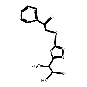 CC(c1nnc(SCC(=O)c2ccccc2)s1)C(S)S